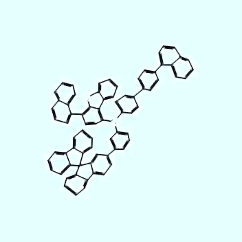 c1cc(-c2ccc3c(c2)C2(c4ccccc4-c4ccccc42)c2ccccc2-3)cc(N(c2ccc(-c3ccc(-c4cccc5ccccc45)cc3)cc2)c2ccc(-c3cccc4ccccc34)c3sc4ccccc4c23)c1